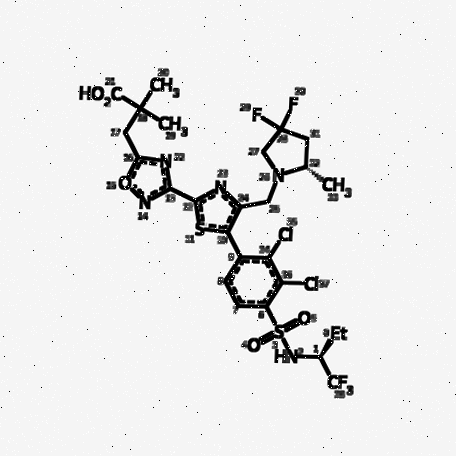 CC[C@H](NS(=O)(=O)c1ccc(-c2sc(-c3noc(CC(C)(C)C(=O)O)n3)nc2CN2CC(F)(F)C[C@@H]2C)c(Cl)c1Cl)C(F)(F)F